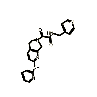 O=C(NCc1ccncc1)C(=O)N1CCc2ccc(Nc3ccccn3)nc2C1